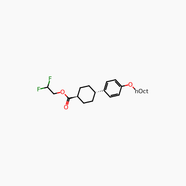 CCCCCCCCOc1ccc([C@H]2CC[C@H](C(=O)OCC(F)F)CC2)cc1